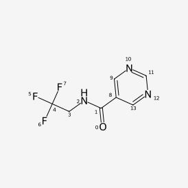 O=C(NCC(F)(F)F)c1cncnc1